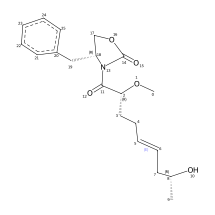 CO[C@H](CC/C=C/C[C@@H](C)O)C(=O)N1C(=O)OC[C@H]1Cc1ccccc1